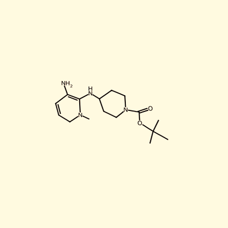 CN1CC=CC(N)=C1NC1CCN(C(=O)OC(C)(C)C)CC1